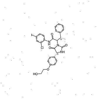 C[C@@H](c1ccccc1)C(C(=O)Nc1ccc(I)cc1Cl)N1C(=O)N[C@H](c2ccc(OCCO)cc2)C1=O